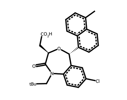 Cc1cccc2c([C@H]3O[C@H](CC(=O)O)C(=O)N(CC(C)(C)C)c4ccc(Cl)cc43)cccc12